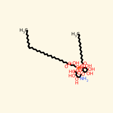 CCCCCCCC/C=C\CCCCCCCCCCCCCCCCCCCC(=O)OC[C@@H](O)COP(=O)(O)OC1C(OC(=O)CCCCCCCCCCCCCCC)[C@H](O)C(O)C(O)[C@H]1O[C@H]1OC(CO)[C@@H](O)[C@H](O)C1N